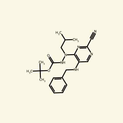 CC(C)CN(NC(=O)OC(C)(C)C)c1nc(C#N)ncc1NCc1ccccc1